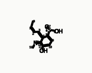 C\C=C/C=C1/C(S(=O)O)=CC=C(O)/C1=N\C